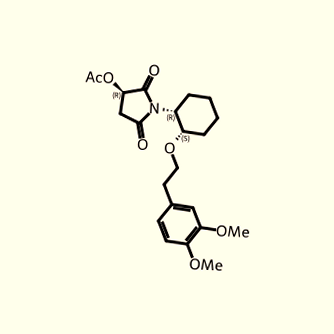 COc1ccc(CCO[C@H]2CCCC[C@H]2N2C(=O)C[C@@H](OC(C)=O)C2=O)cc1OC